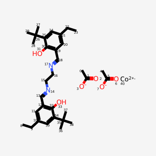 CC(=O)[O-].CC(=O)[O-].CCc1cc(C=NCCN=Cc2cc(CC)cc(C(C)(C)C)c2O)c(O)c(C(C)(C)C)c1.[Co+2]